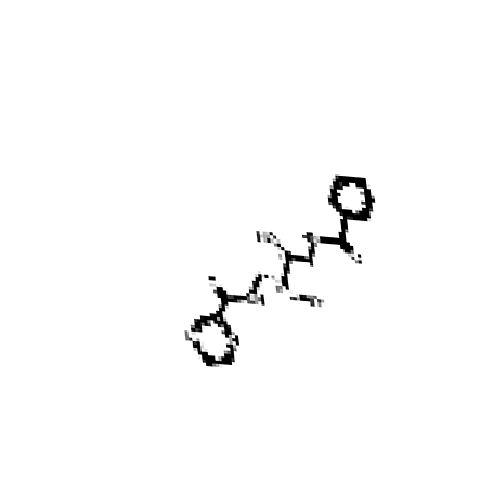 CCO[C@H](CNC(=O)c1cnccn1)[C@@H](O)CNC(=O)c1ccccc1